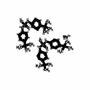 CC(C)(C)c1ccc(OP(=O)([O-])Oc2ccc(C(C)(C)C)cc2)cc1.CC(C)(C)c1ccc(OP(=O)([O-])Oc2ccc(C(C)(C)C)cc2)cc1.[Mg+2]